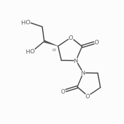 O=C1OCCN1N1C[C@@H](C(O)CO)OC1=O